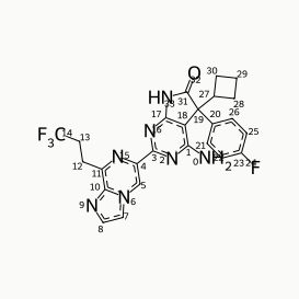 Nc1nc(-c2cn3ccnc3c(CCC(F)(F)F)n2)nc2c1C(c1ccc(F)cc1)(C1CCC1)C(=O)N2